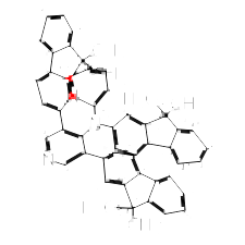 CC1(C)c2ccccc2-c2ccc(-c3cncc(-c4ccc5c(c4)C(C)(C)c4ccccc4-5)c3N(c3ccc4c(c3)C(C)(C)c3ccccc3-4)c3ccccn3)cc21